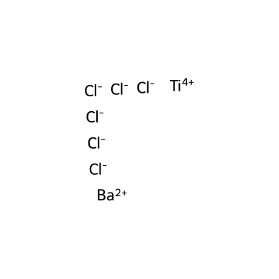 [Ba+2].[Cl-].[Cl-].[Cl-].[Cl-].[Cl-].[Cl-].[Ti+4]